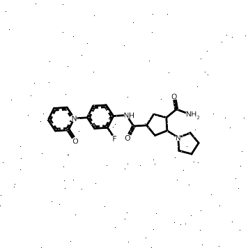 NC(=O)C1CC(C(=O)Nc2ccc(-n3ccccc3=O)cc2F)CC1N1CCCC1